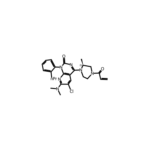 C=CC(=O)N1CCN(c2nc(=O)n(-c3ccccc3CCC)c3nc(N(C)C)c(Cl)cc23)[C@@H](C)C1